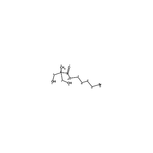 CC(CO)(CO)C(=O)OCCCCBr